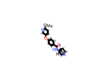 COc1ccc(Oc2ccc(C(=O)N[C@H]3CN4CCC3CC4)cc2)cn1